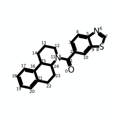 O=C(c1ccc2ncsc2c1)N1CCCC2c3ccccc3CCC21